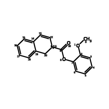 COc1ccccc1OC(=O)N1C=Cc2ccccc2C1